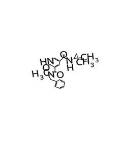 CN(Cc1ccccc1)C(=O)c1cc(C(=O)NC2CC2(C)C)c[nH]c1=O